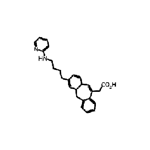 O=C(O)CC1=CC2C=CC(CCCCNc3ccccn3)=CC2Cc2ccccc21